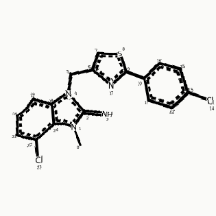 Cn1c(=N)n(Cc2csc(-c3ccc(Cl)cc3)n2)c2cccc(Cl)c21